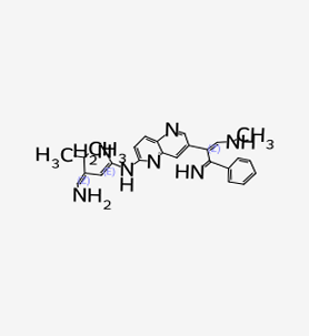 CN/C=C(\C(=N)c1ccccc1)c1cnc2ccc(N/C(N)=C/C(=C\N)C(C)C)nc2c1